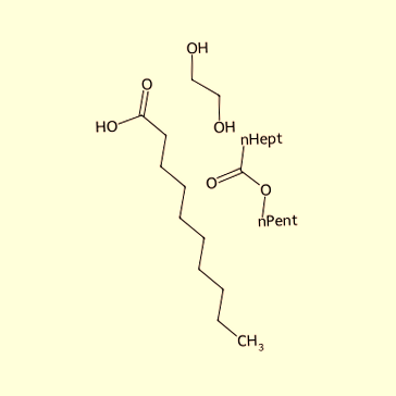 CCCCCCCC(=O)OCCCCC.CCCCCCCCCC(=O)O.OCCO